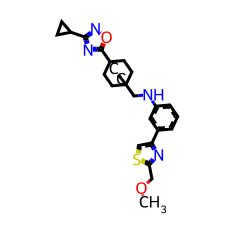 COCc1nc(-c2cccc(NCC34CCC(c5nc(C6CC6)no5)(CC3)CC4)c2)cs1